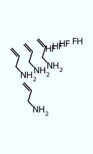 C=CCN.C=CCN.C=CCN.C=CCN.F.F.F.F